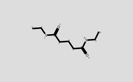 CCSC(=O)CCCC(=O)SCC